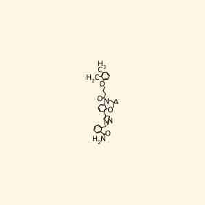 Cc1cccc(OCCCC(=O)N2CC3(CC3)COc3c(-c4cnn(Cc5ccccc5C(N)=O)c4)cccc32)c1C